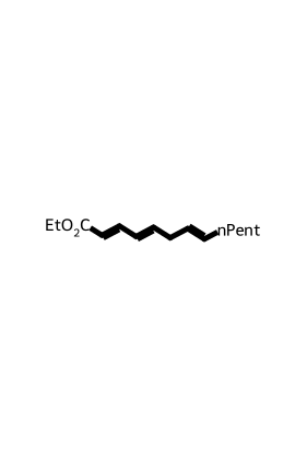 CCCCCC=CCC=CC=CC(=O)OCC